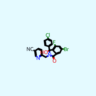 N#Cc1ccc(CN2C(=O)c3cc(Br)cc(F)c3C2(O)c2ccc(Cl)cc2)nc1